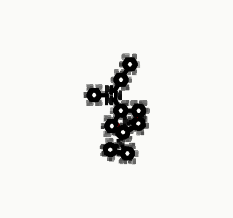 c1ccc(-c2ccc(-c3nc(-c4ccccc4)nc(-c4cc(-c5ccccc5)c(-n5c6ccccc6c6cc(-n7c8ccccc8c8ccccc87)ccc65)c(-c5ccccc5)c4)n3)cc2)cc1